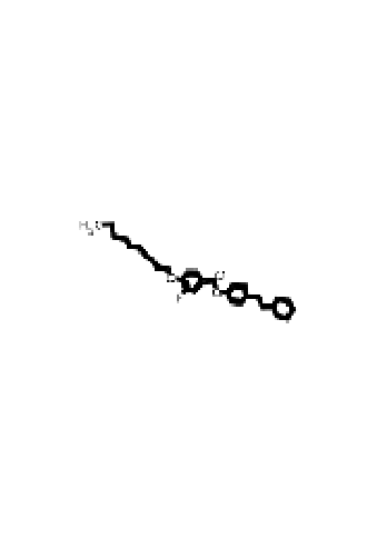 CCCCCCCCCCOc1ccc(C(=O)Oc2ccc(CCC3CC[CH]CC3)cc2)cc1F